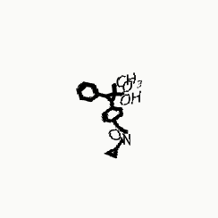 CCC1(C(=O)O)C(c2ccccc2)C1c1ccc(-c2cnc(C3CC3)o2)cc1